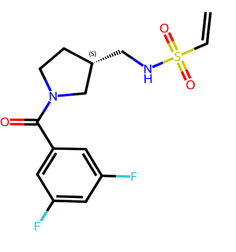 C=CS(=O)(=O)NC[C@H]1CCN(C(=O)c2cc(F)cc(F)c2)C1